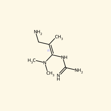 C/C(CN)=C(\NC(=N)N)N(C)C